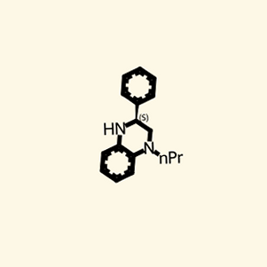 CCCN1C[C@H](c2ccccc2)Nc2ccccc21